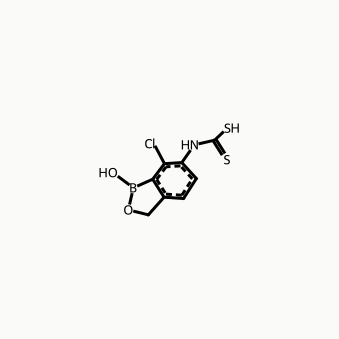 OB1OCc2ccc(NC(=S)S)c(Cl)c21